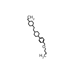 C=CCCOCc1ccc(C2CCC(CCC3CCC(C=C)CC3)CC2)cc1